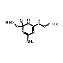 CCCCCCSNC1=NC(N)=NC(Cl)(SCCCCCC)N1